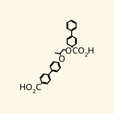 CC(COC1(C(=O)O)C=CC(c2ccccc2)=CC1)Oc1ccc(-c2ccc(C(=O)O)cc2)cc1